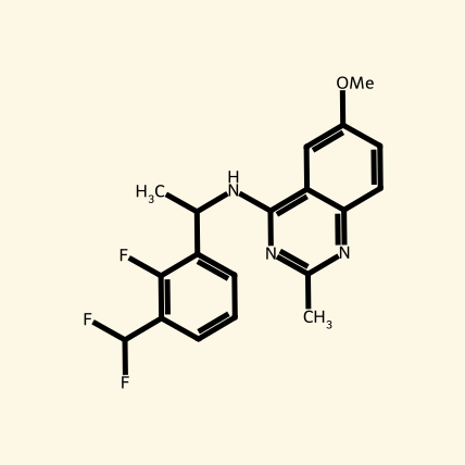 COc1ccc2nc(C)nc(NC(C)c3cccc(C(F)F)c3F)c2c1